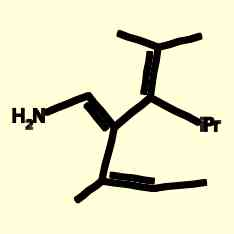 C/C=C(C)\C(=C/N)C(=C(C)C)C(C)C